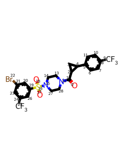 O=C(C1CC1c1ccc(C(F)(F)F)cc1)N1CCN(S(=O)(=O)c2cc(Br)cc(C(F)(F)F)c2)CC1